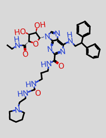 CCNC(=O)[C@H]1O[C@@H](n2cnc3c(NCC(c4ccccc4)c4ccccc4)nc(C(=O)NCCCNC(=O)NCCN4CCCCC4)nc32)[C@H](O)[C@@H]1O